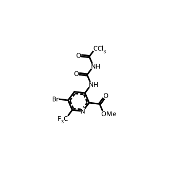 COC(=O)c1nc(C(F)(F)F)c(Br)cc1NC(=O)NC(=O)C(Cl)(Cl)Cl